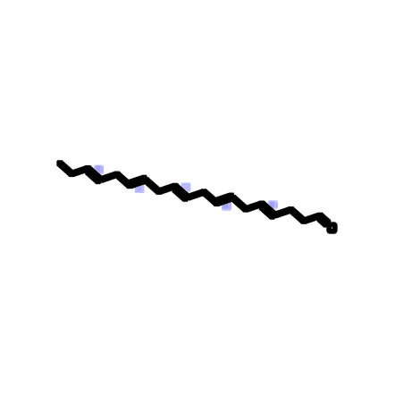 CC/C=C/C/C=C/C/C=C/C/C=C/C/C=C/CCC=O